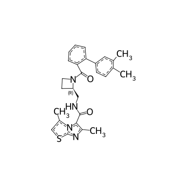 Cc1ccc(-c2ccccc2C(=O)N2CC[C@@H]2CNC(=O)c2c(C)nc3scc(C)n23)cc1C